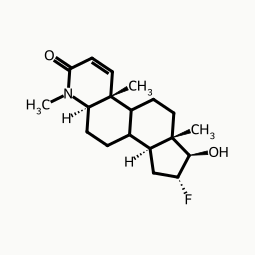 CN1C(=O)C=C[C@]2(C)C3CC[C@@]4(C)[C@@H](C[C@@H](F)[C@@H]4O)C3CC[C@@H]12